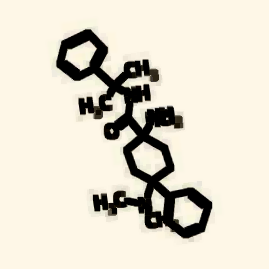 CN(C)C1(c2ccccc2)CCC(N)(C(=O)NC(C)(C)c2ccccc2)CC1.Cl